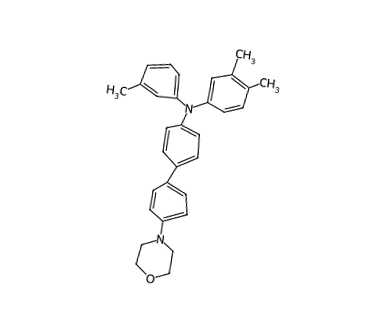 Cc1cccc(N(c2ccc(-c3ccc(N4CCOCC4)cc3)cc2)c2ccc(C)c(C)c2)c1